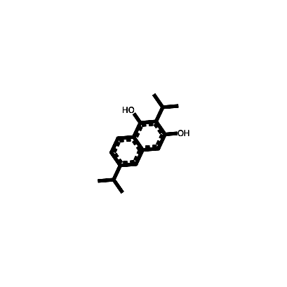 CC(C)c1ccc2c(O)c(C(C)C)c(O)cc2c1